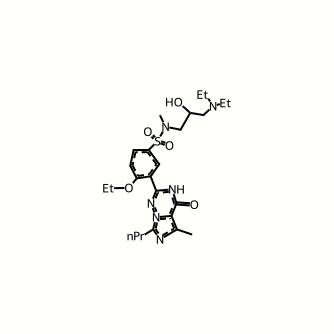 CCCc1nc(C)c2c(=O)[nH]c(-c3cc(S(=O)(=O)N(C)CC(O)CN(CC)CC)ccc3OCC)nn12